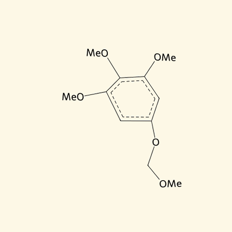 COCOc1cc(OC)c(OC)c(OC)c1